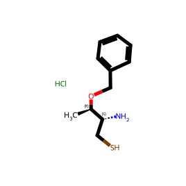 C[C@@H](OCc1ccccc1)[C@H](N)CS.Cl